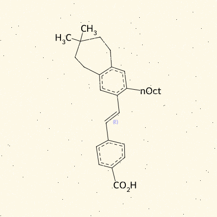 CCCCCCCCc1cc2c(cc1/C=C/c1ccc(C(=O)O)cc1)CCC(C)(C)CC2